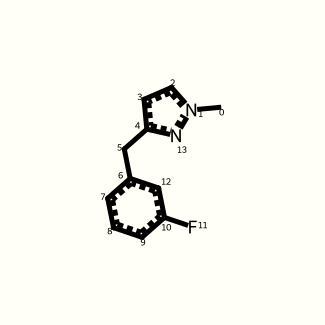 Cn1c[c]c(Cc2cccc(F)c2)n1